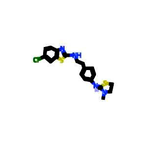 CN1CCS/C1=N\c1ccc(CCNc2nc3ccc(Cl)cc3s2)cc1